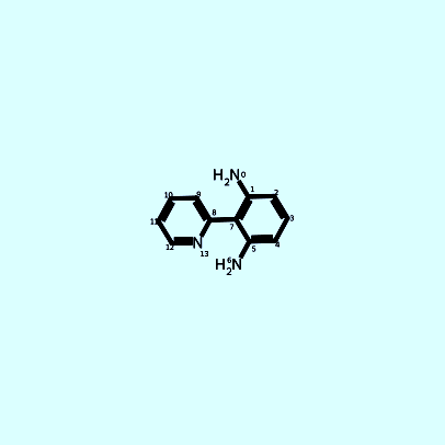 Nc1cccc(N)c1-c1ccccn1